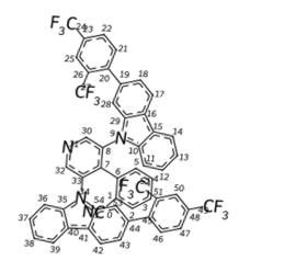 N#Cc1ccccc1-c1c(-n2c3ccccc3c3ccc(-c4ccc(C(F)(F)F)cc4C(F)(F)F)cc32)cncc1-n1c2ccccc2c2ccc(-c3ccc(C(F)(F)F)cc3C(F)(F)F)cc21